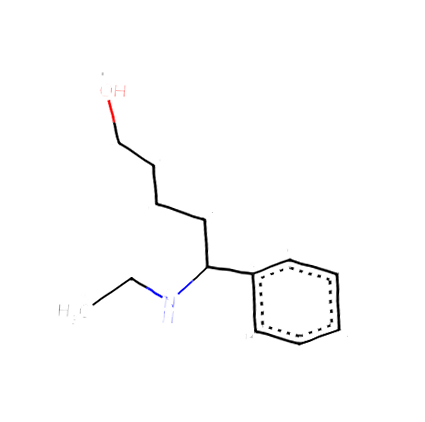 CCNC(CCCCO)c1ccccc1